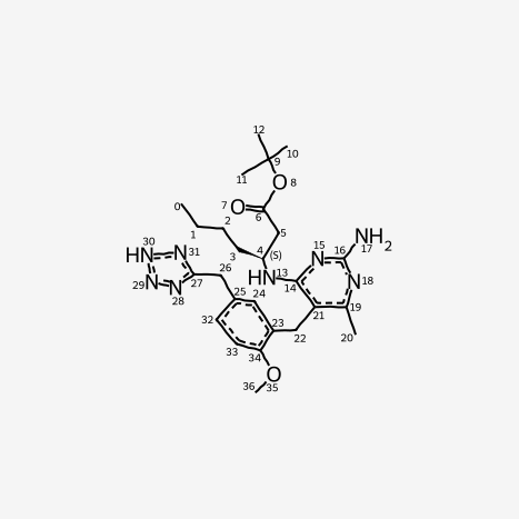 CCCC[C@@H](CC(=O)OC(C)(C)C)Nc1nc(N)nc(C)c1Cc1cc(Cc2nn[nH]n2)ccc1OC